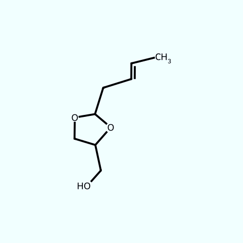 C/C=C/CC1OCC(CO)O1